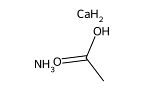 CC(=O)O.N.[CaH2]